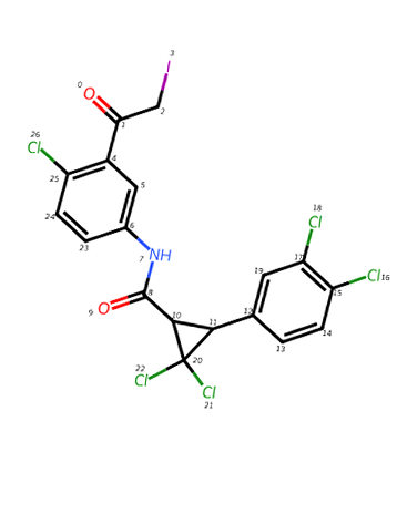 O=C(CI)c1cc(NC(=O)C2C(c3ccc(Cl)c(Cl)c3)C2(Cl)Cl)ccc1Cl